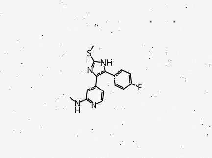 CNc1cc(-c2nc(SC)[nH]c2-c2ccc(F)cc2)ccn1